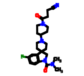 CN(C)C(=O)N1CC2(CCN(C3CCN(C(=O)CCC#N)CC3)CC2)c2cc(F)ccc21